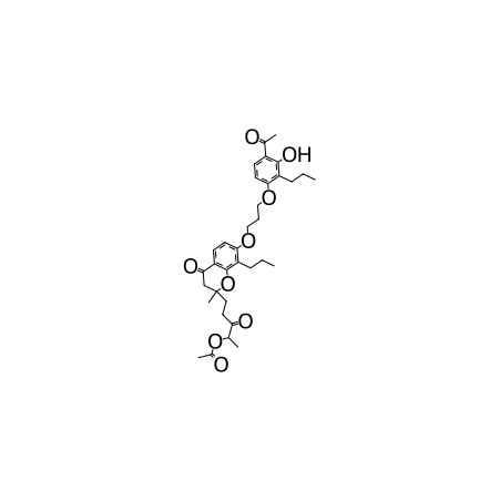 CCCc1c(OCCCOc2ccc3c(c2CCC)OC(C)(CCC(=O)C(C)OC(C)=O)CC3=O)ccc(C(C)=O)c1O